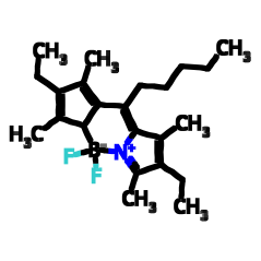 CCCCCC1=C2C(C)=C(CC)C(C)=[N+]2[B-](F)(F)C2C(C)=C(CC)C(C)=C12